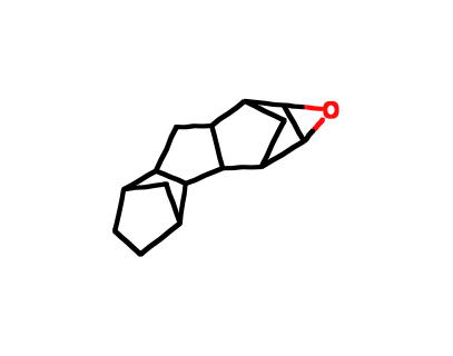 C1CC2CC1C1CC3C4CC(C5OC45)C3C21